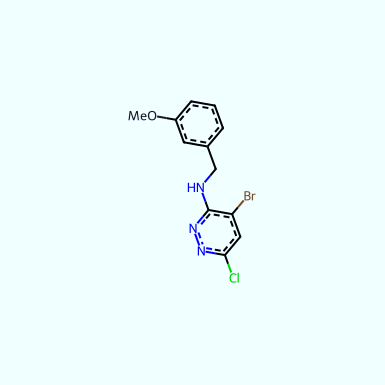 COc1cccc(CNc2nnc(Cl)cc2Br)c1